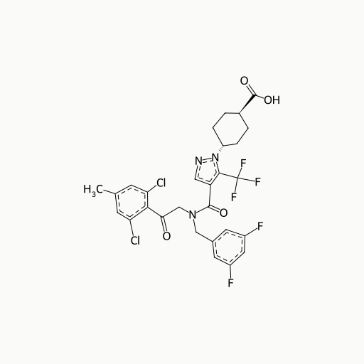 Cc1cc(Cl)c(C(=O)CN(Cc2cc(F)cc(F)c2)C(=O)c2cnn([C@H]3CC[C@H](C(=O)O)CC3)c2C(F)(F)F)c(Cl)c1